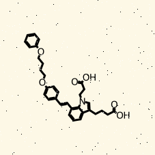 O=C(O)CCCc1cn(CCC(=O)O)c2c(C=Cc3ccc(OCCCCOc4ccccc4)cc3)cccc12